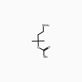 CC(=O)NCCC(C)(C)OC(=O)C(C)(C)C